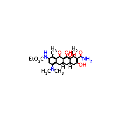 C=C1C(C(N)=O)=C(O)C[C@@H]2C[C@@H]3Cc4c(N(C)C)cc(NC(=O)OCC)c(C)c4C(=O)C3=C(O)[C@]12O